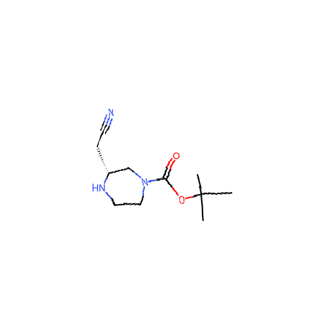 CC(C)(C)OC(=O)N1CCN[C@H](CC#N)C1